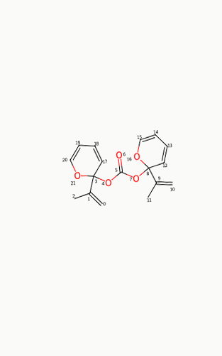 C=C(C)C1(OC(=O)OC2(C(=C)C)C=CC=CO2)C=CC=CO1